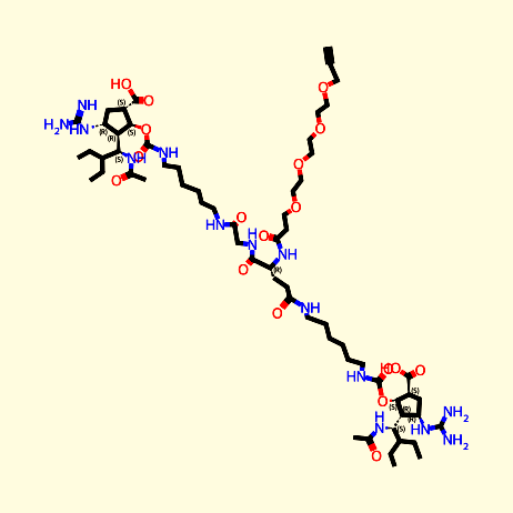 C#CCOCCOCCOCCOCCC(=O)N[C@H](CCC(=O)NCCCCCCNC(=O)O[C@H]1[C@@H]([C@@H](NC(C)=O)C(CC)CC)[C@H](NC(N)N)C[C@@H]1C(=O)O)C(=O)NCC(=O)NCCCCCCNC(=O)O[C@H]1[C@@H]([C@@H](NC(C)=O)C(CC)CC)[C@H](NC(=N)N)C[C@@H]1C(=O)O